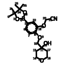 CC1(C)OB(c2ccc(OCC3(O)CCOCC3)c(OCC#N)c2)OC1(C)C